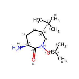 C[SiH](C)ON1C[C@@H](C(C)(C)C)CC[C@H](N)C1=O